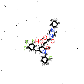 O=C(C=C(O)c1cc(Cc2cc(F)c(F)c(F)c2)cn(Cc2ccccc2F)c1=O)C(=O)N1CCN(c2ccccc2)CC1